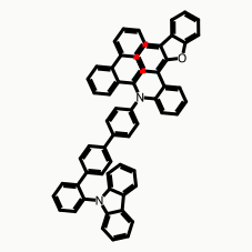 c1ccc(N(c2ccc(-c3ccc(-c4ccccc4-n4c5ccccc5c5ccccc54)cc3)cc2)c2cc3ccccc3c3ccccc23)c(-c2cccc3c2oc2ccccc23)c1